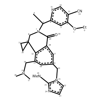 CCOc1cc(C(C)N2CC3(CC3)c3c(CN(C)C)cc(Cn4ccnc4NC)cc3C2=O)ncc1C#N